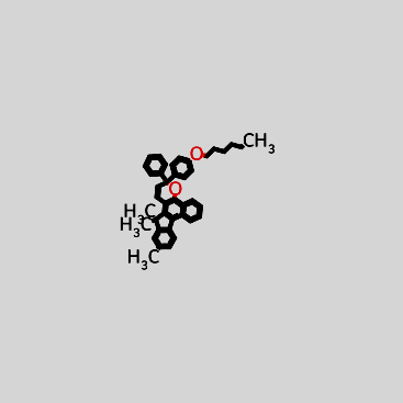 CCCCCCOc1ccc(C2(c3ccccc3)C=Cc3c4c(c5ccccc5c3O2)-c2ccc(C)cc2C4(C)C)cc1